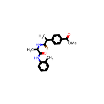 COC(=O)c1ccc(C(C)C(=S)NC(C)C(=O)Nc2ccccc2C)cc1